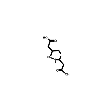 O=C(O)CC1CSC(CC(=O)O)NN1